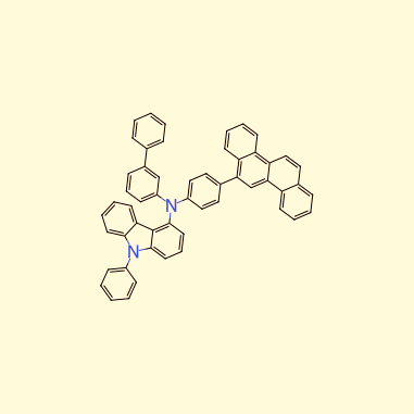 c1ccc(-c2cccc(N(c3ccc(-c4cc5c6ccccc6ccc5c5ccccc45)cc3)c3cccc4c3c3ccccc3n4-c3ccccc3)c2)cc1